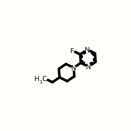 CCC1CCN(c2nccnc2F)CC1